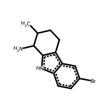 CC1CCc2c([nH]c3ccc(Br)cc23)C1N